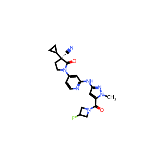 Cn1nc(Nc2cc(N3CC[C@@](C#N)(C4CC4)C3=O)ccn2)cc1C(=O)N1CC(F)C1